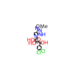 CON=c1nc[nH]c2c1ccn2[C@@H]1O[C@H]([C@H](O)c2ccc(Cl)c(Cl)c2)[C@@](C)(O)[C@H]1O